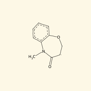 CN1C(=O)[CH]COc2ccccc21